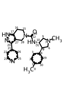 Cc1ccc([C@@H]2CN(C)C[C@H]2NC(=O)N2CCc3[nH]nc(-c4ccncc4)c3C2)cc1